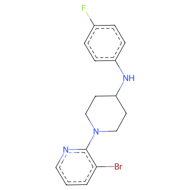 Fc1ccc(NC2CCN(c3ncccc3Br)CC2)cc1